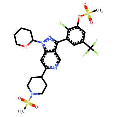 CS(=O)(=O)Oc1cc(C(F)(F)F)cc(-c2nn(C3CCCCO3)c3cc(C4CCN(S(C)(=O)=O)CC4)ncc23)c1F